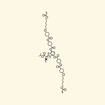 [C-]#[N+]C(C(=O)OC(C)C)=C1Sc2c(OC(=O)C3CCC(OC(=O)C4CCC(OCCCCCCOC(=O)C=C)CC4)CC3)ccc(OC(=O)C3CCC(OC(=O)C4CCC(OCCCCCCOC(=O)C=C)CC4)CC3)c2S1